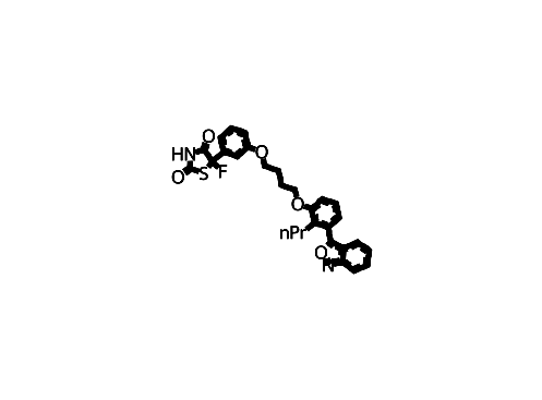 CCCc1c(OCCCCOc2cccc(C3(F)SC(=O)NC3=O)c2)cccc1-c1onc2ccccc12